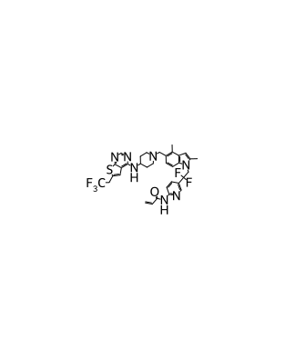 C=CC(=O)Nc1ccc(C(F)(F)Cn2c(C)cc3c(C)c(CN4CCC(Nc5ncnc6sc(CC(F)(F)F)cc56)CC4)ccc32)cn1